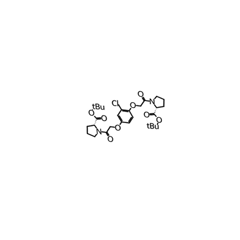 CC(C)(C)OC(=O)[C@H]1CCCN1C(=O)COc1ccc(OCC(=O)N2CCC[C@@H]2C(=O)OC(C)(C)C)c(Cl)c1